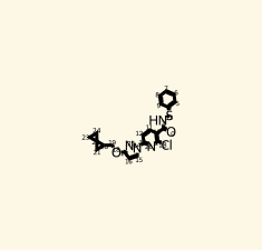 O=C(NSc1ccccc1)c1ccc(-n2ccc(OCC3CC34CC4)n2)nc1Cl